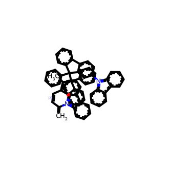 C=C(/C=C\C1=C(C)C(c2ccccc2)(C2(c3ccccc3)c3ccccc3-c3ccc(-n4c5ccccc5c5ccccc54)cc32)c2ccccc21)n1c2ccccc2c2ccccc21